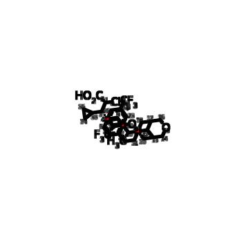 C[C@H](C(=O)O)[C@H](c1ccc2c(c1)OC(C1C3COCC1CN([C@@H](C)c1cc(C(F)(F)F)ccc1C(F)(F)F)C3)CC2)C1CC1